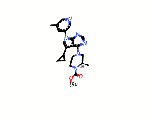 Cc1cncc(-n2cc(C3CC3)c3c(N4CCN(C(=O)OC(C)(C)C)[C@H](C)C4)ncnc32)c1